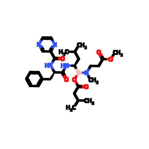 COC(=O)CCN(C)B(OC(=O)CC(C)C)[C@H](CC(C)C)NC(=O)[C@H](Cc1ccccc1)NC(=O)c1cnccn1